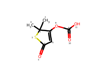 CC1(C)SC(=O)C=C1OC(=O)O